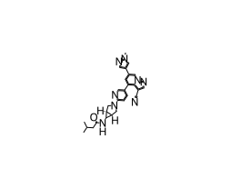 CC(C)CC(=O)NC1[C@H]2CN(c3ccc(-c4cc(-c5cnn(C)c5)cn5ncc(C#N)c45)cn3)C[C@@H]12